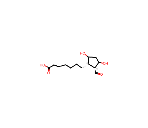 O=C[C@@H]1C(O)CC(O)[C@H]1CCCCCCC(=O)O